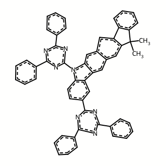 CC1(C)c2ccccc2-c2cc3cc4c(cc3cc21)c1cc(-c2nc(-c3ccccc3)nc(-c3ccccc3)n2)ccc1n4-c1nc(-c2ccccc2)nc(-c2ccccc2)n1